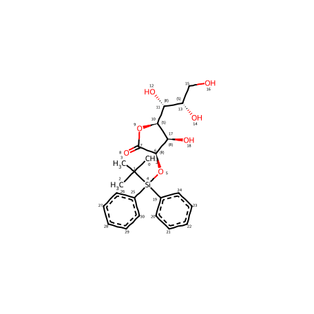 CC(C)(C)[Si](O[C@H]1C(=O)O[C@@H]([C@H](O)[C@@H](O)CO)[C@H]1O)(c1ccccc1)c1ccccc1